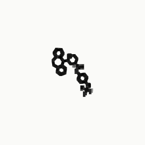 FC(F)(F)Oc1ccc(SN[C@H]2CCOC(C3c4ccccc4CCc4ccccc43)C2)cc1